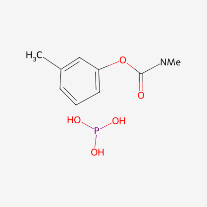 CNC(=O)Oc1cccc(C)c1.OP(O)O